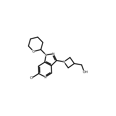 OCC1CN(c2nn(C3CCCCO3)c3cc(Cl)ncc23)C1